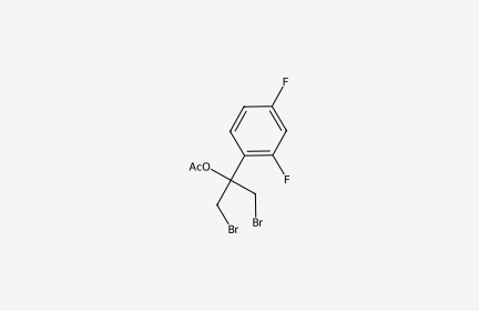 CC(=O)OC(CBr)(CBr)c1ccc(F)cc1F